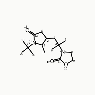 CC1C(CC(C)(C)N2CCOC2=O)CC(=O)N1C(C)(C)C